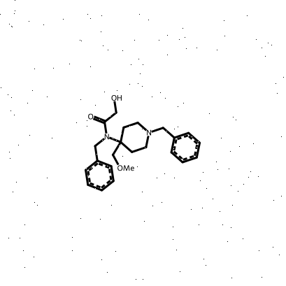 COCC1(N(Cc2ccccc2)C(=O)CO)CCN(Cc2ccccc2)CC1